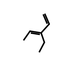 C=CC(=CC)CC